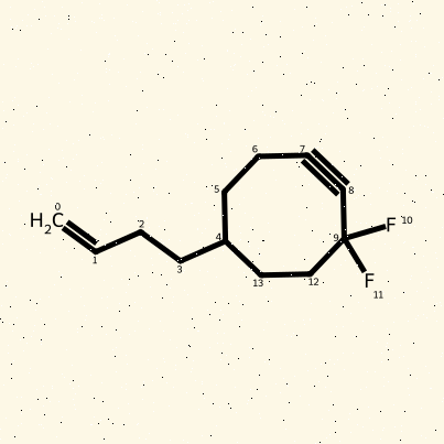 C=CCCC1CCC#CC(F)(F)CC1